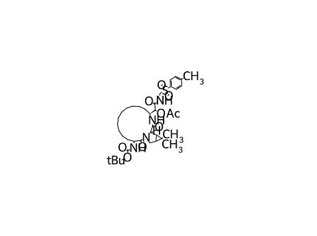 CC(=O)OC(C(=O)NCS(=O)(=O)c1ccc(C)cc1)[C@@H]1CCCCCCCCCC[C@H](NC(=O)OC(C)(C)C)C(=O)N2CC3C([C@H]2C(=O)N1)C3(C)C